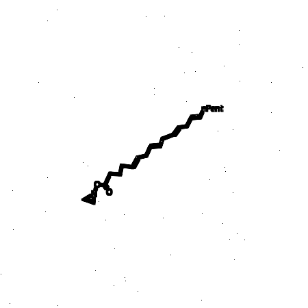 CCCCCC=CCC=CCC=CCC=CCCCC(=O)ON1CC1